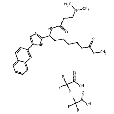 CCC(=O)CCCCC[C@H](NC(=O)CCN(C)C)c1ncc(-c2ccc3ccccc3c2)[nH]1.O=C(O)C(F)(F)F.O=C(O)C(F)(F)F